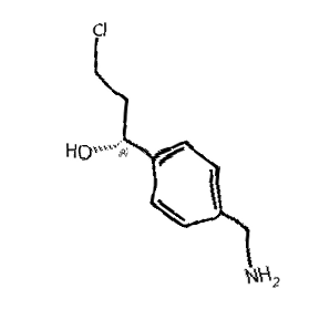 NCc1ccc([C@H](O)CCCl)cc1